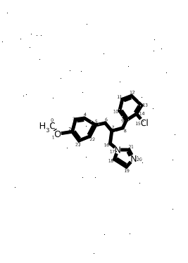 COc1ccc(CC(Cc2ccccc2Cl)Cn2ccnc2)cc1